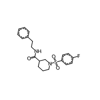 O=C(NCCc1ccccc1)C1CCCN(S(=O)(=O)c2ccc(F)cc2)C1